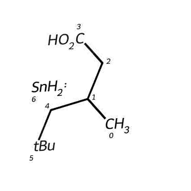 CC(CC(=O)O)CC(C)(C)C.[SnH2]